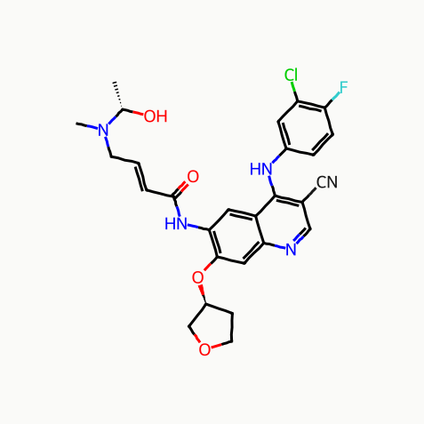 C[C@H](O)N(C)C/C=C/C(=O)Nc1cc2c(Nc3ccc(F)c(Cl)c3)c(C#N)cnc2cc1O[C@H]1CCOC1